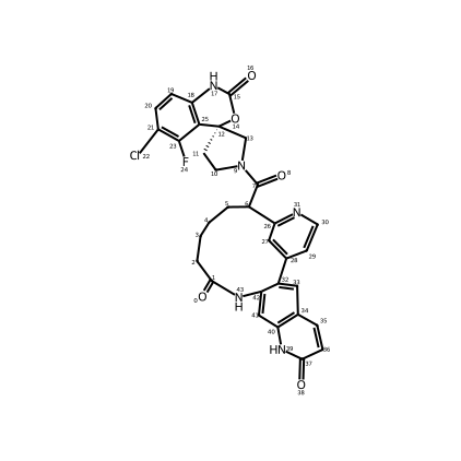 O=C1CCCCC(C(=O)N2CC[C@@]3(C2)OC(=O)Nc2ccc(Cl)c(F)c23)c2cc(ccn2)-c2cc3ccc(=O)[nH]c3cc2N1